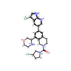 O=C(N1CCc2cc(-c3cnc4[nH]cc(Cl)c4c3)cc(C3COCCN3)c2C1)N1CCC(F)C1